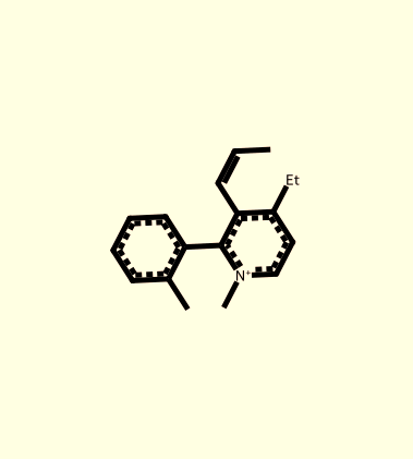 C/C=C\c1c(CC)cc[n+](C)c1-c1ccccc1C